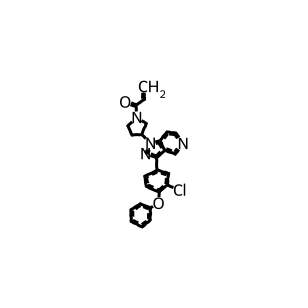 C=CC(=O)N1CCC(n2nc(-c3ccc(Oc4ccccc4)c(Cl)c3)c3cnccc32)C1